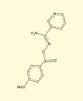 COc1ccc(C(=O)O/N=C(\N)c2cccnc2)cc1